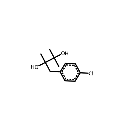 CC(C)(O)C(C)(O)Cc1ccc(Cl)cc1